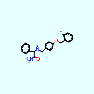 CN(Cc1ccc(OCc2ccccc2F)cc1)C(C(N)=O)c1ccccc1